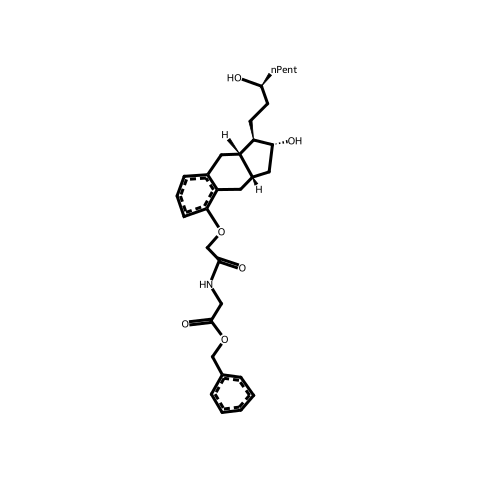 CCCCC[C@H](O)CC[C@@H]1[C@H]2Cc3cccc(OCC(=O)NCC(=O)OCc4ccccc4)c3C[C@H]2C[C@H]1O